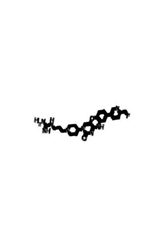 N=C(N)NCCCN1CCC(n2cc3c(nc2=O)Nc2cc(-c4ccc(CF)nc4)ccc2O3)CC1